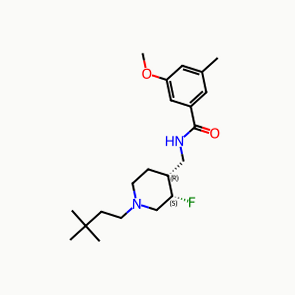 COc1cc(C)cc(C(=O)NC[C@H]2CCN(CCC(C)(C)C)C[C@H]2F)c1